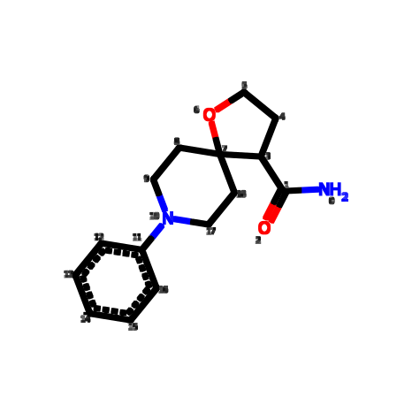 NC(=O)C1CCOC12CCN(c1cc[c]cc1)CC2